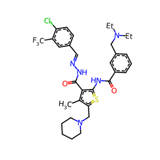 CCN(CC)Cc1cccc(C(=O)Nc2sc(CN3CCCCC3)c(C)c2C(=O)NN=Cc2ccc(Cl)c(C(F)(F)F)c2)c1